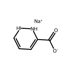 O=C([O-])C1=CC=C[IH]N1.[Na+]